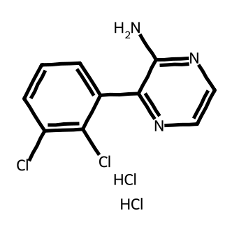 Cl.Cl.Nc1nccnc1-c1cccc(Cl)c1Cl